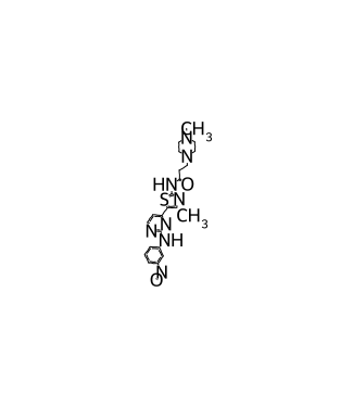 Cc1nc(NC(=O)CCN2CCN(C)CC2)sc1-c1ccnc(Nc2cccc(N=O)c2)n1